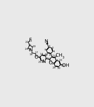 CC1=C(c2ccc(C#N)cc2)C(c2ccc(OCCN3CC(CF)C3)cn2)Oc2ccc(O)cc21